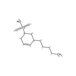 CCCCCC1C=CCC(S(=O)(=O)O)C1